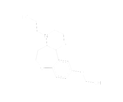 CCCN1CCOC2c3cc(OCC)ccc3OCCC21